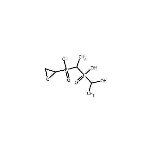 CC(O)P(=O)(O)C(C)P(=O)(O)C1CO1